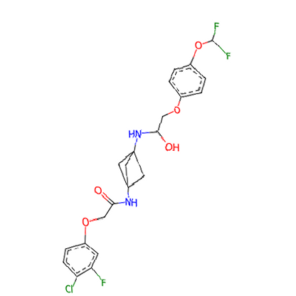 O=C(COc1ccc(Cl)c(F)c1)NC12CC(NC(O)COc3ccc(OC(F)F)cc3)(C1)C2